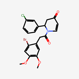 COc1cc(Br)c(CC(=O)N2C=CC(=O)CC2c2cccc(Cl)c2)cc1OC